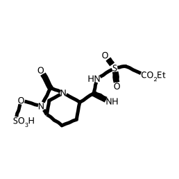 CCOC(=O)CS(=O)(=O)NC(=N)C1CCC2CN1C(=O)N2OS(=O)(=O)O